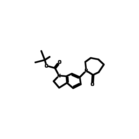 CC(C)(C)OC(=O)N1CCc2ccc(N3CCCCCC3=O)cc21